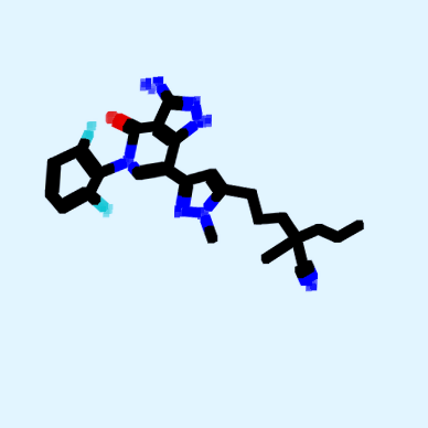 CCCC(C)(C#N)CCCc1cc(-c2cn(-c3c(F)cccc3F)c(=O)c3c(N)n[nH]c23)nn1C